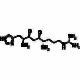 NC(N)NCCC[C@H](N)C(=O)CC(=O)[C@@H](N)Cc1c[nH]cn1